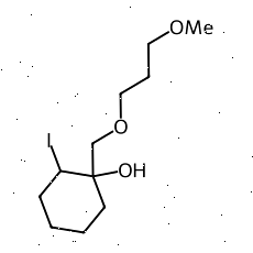 COCCCOCC1(O)CCCCC1I